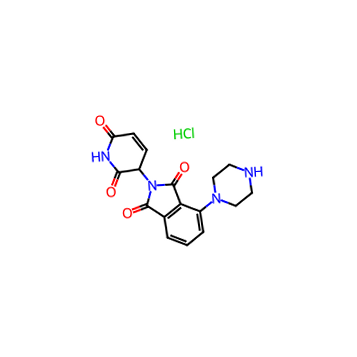 Cl.O=C1C=CC(N2C(=O)c3cccc(N4CCNCC4)c3C2=O)C(=O)N1